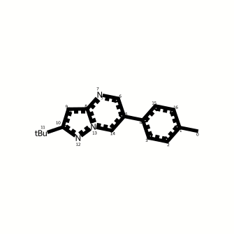 Cc1ccc(-c2cnc3cc(C(C)(C)C)nn3c2)cc1